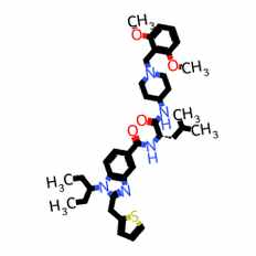 CCC(CC)n1c(Cc2cccs2)nc2cc(C(=O)N[C@@H](CC(C)C)C(=O)NC3CCN(Cc4c(OC)cccc4OC)CC3)ccc21